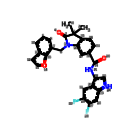 CC1(C)C(=O)N(Cc2cccc3ccoc23)c2cc(C(=O)Nc3c[nH]c4cc(F)c(F)cc34)ccc21